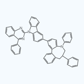 c1ccc(-c2nc(-n3c4ccccc4c4cc(-c5ccc6c(c5)-c5ccccc5CC(c5ccccc5)CN6c5ccccc5)ccc43)nc3ccccc23)cc1